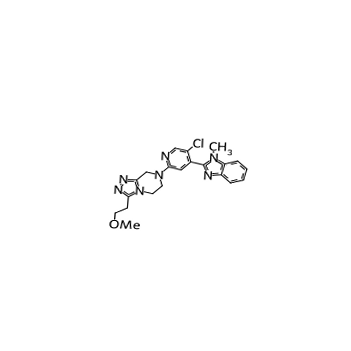 COCCc1nnc2n1CCN(c1cc(-c3nc4ccccc4n3C)c(Cl)cn1)C2